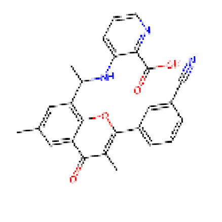 Cc1cc(C(C)Nc2cccnc2C(=O)O)c2oc(-c3cccc(C#N)c3)c(C)c(=O)c2c1